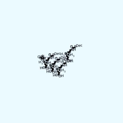 CCCCCCCCCCCC(=O)NCCC[N+](C)(C)CCC(O)O.CCCCCCCCCCCC(=O)NCCC[N+](C)(C)CCC(O)O.CCCCCCCCCCCC(=O)NCCC[N+](C)(C)CCC(O)O.CCCCCCCCCCCC(=O)NCCC[N+](C)(C)CCC(O)O.O=P([O-])([O-])[O-].[Cl-]